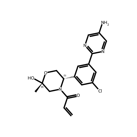 C=CC(=O)N1C[C@](C)(O)OC[C@@H]1c1cc(Cl)cc(-c2ncc(N)cn2)c1